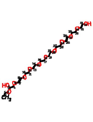 CCOC(O)COCCOCCOCCOCCOCCOCCOCCOCCOCCO